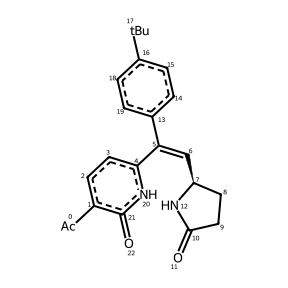 CC(=O)c1ccc(/C(=C\[C@H]2CCC(=O)N2)c2ccc(C(C)(C)C)cc2)[nH]c1=O